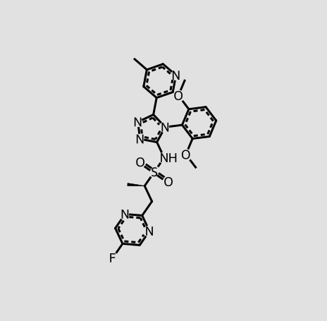 COc1cccc(OC)c1-n1c(NS(=O)(=O)[C@H](C)Cc2ncc(F)cn2)nnc1-c1cncc(C)c1